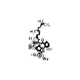 CCCCOP(=O)(Cc1cc(OP(=O)(OCCCC)OCCCC)cc2c1Nc1c(O)cccc1C(=O)N2C/C=C(\C)CC/C=C(\C)CCC=C(C)C)OCCCC